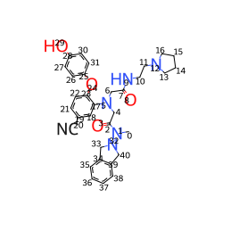 CN(C(=O)CN(CC(=O)NCCN1CCCC1)c1cc(C#N)ccc1Oc1ccc(O)cc1)N1Cc2ccccc2C1